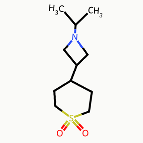 CC(C)N1CC(C2CCS(=O)(=O)CC2)C1